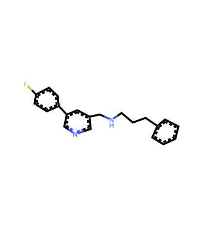 Fc1ccc(-c2cncc(CNCCCc3ccccc3)c2)cc1